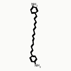 Nc1ccc(C=CC=CC=CC=CC=CC=CC=Cc2ccc(N)cc2)cc1